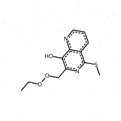 CCOOCc1nc(SC)c2cccnc2c1O